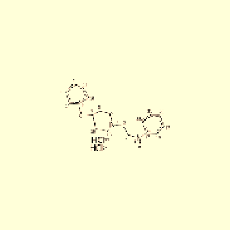 CN(CCN1CCC(Cc2ccccc2)CC1)c1ccccc1.Cl.Cl